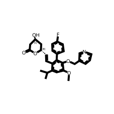 COc1cc(C(C)C)c(C=C[C@H]2C[C@H](O)CC(=O)O2)c(-c2ccc(F)cc2)c1OCc1cccnc1